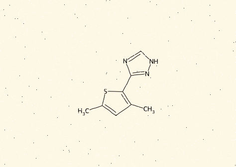 Cc1cc(C)c(-c2nc[nH]n2)s1